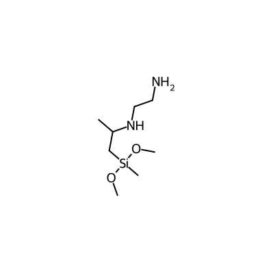 CO[Si](C)(CC(C)NCCN)OC